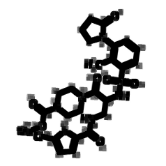 Cc1c(N2CCCC2=O)cccc1S(=O)(=O)NC(CNC(=O)c1ccc(Cl)s1)C(=O)N1CCN(C(=O)OC(C)(C)C)CC1